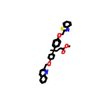 COC(=O)CCC(C)(c1ccc(OCc2ccc3ccccc3n2)cc1)c1ccc(OCc2nc3ccccc3s2)cc1